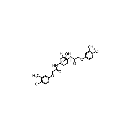 Cc1cc(OCC(=O)NC23CCC(NC(=O)COc4ccc(Cl)c(C)c4)(CC2)[C@@H](O)C3)ccc1Cl